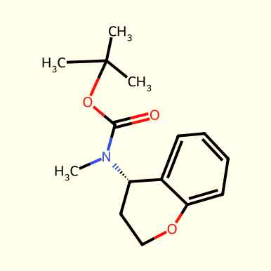 CN(C(=O)OC(C)(C)C)[C@H]1CCOc2ccccc21